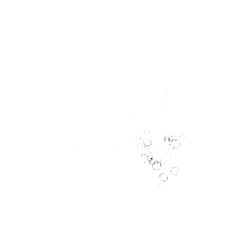 CCCCCCCCCCCCCCCCCCOc1cc(CC(CC(=O)O)(C(=O)O)[C@H]2C[C@H](n3cc(C)c(=O)[nH]c3=O)O[C@@H]2COC(c2ccccc2)(c2ccc(OC)cc2)c2ccc(OC)cc2)cc(OCCCCCCCCCCCCCCCCCC)c1OCCCCCCCCCCCCCCCCCC